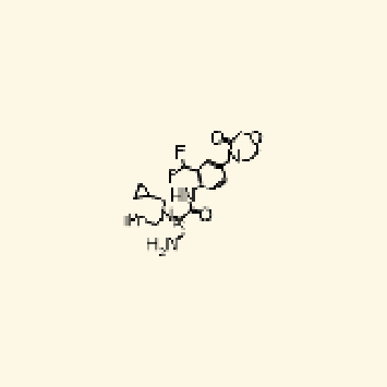 CC(C)CN(CC1CC1)[C@@H](CN)C(=O)Nc1ccc(N2CCOCC2=O)cc1C(F)F